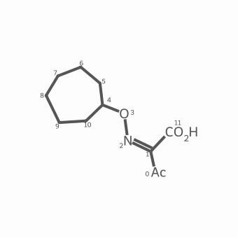 CC(=O)C(=NOC1CCCCCC1)C(=O)O